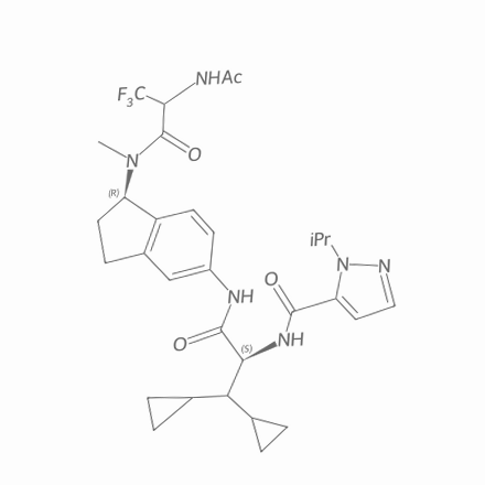 CC(=O)NC(C(=O)N(C)[C@@H]1CCc2cc(NC(=O)[C@@H](NC(=O)c3ccnn3C(C)C)C(C3CC3)C3CC3)ccc21)C(F)(F)F